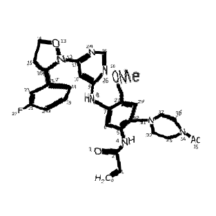 C=CC(=O)Nc1cc(Nc2cc(N3OCCC3c3cccc(F)c3)ncn2)c(OC)cc1N1CCN(C(C)=O)CC1